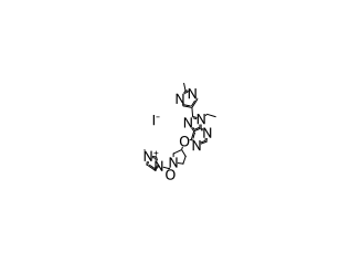 CCn1c(-c2cnc(C)nc2)nc2c(OC3CCN(C(=O)n4cc[n+](C)c4)C3)ncnc21.[I-]